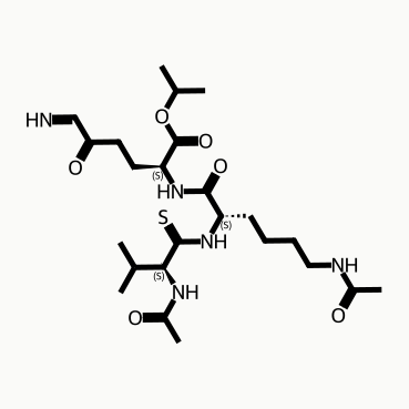 CC(=O)NCCCC[C@H](NC(=S)[C@@H](NC(C)=O)C(C)C)C(=O)N[C@@H](CCC(=O)C=N)C(=O)OC(C)C